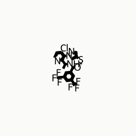 CSc1cnn(-c2c(Cl)ccnc2C(C)NC(=O)c2cc(C(F)(F)F)cc(C(F)(F)F)c2)c1